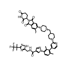 Cc1ccc(-n2cc(C(=O)NCc3nc(C(C)(C)C(F)(F)F)n[nH]3)cn2)c(C)c1-c1ccnc(N2CCC(CN3CCN(c4cc5c(cc4F)C(=O)N(C4CCC(=O)NC4=O)C5=O)CC3)CC2)c1